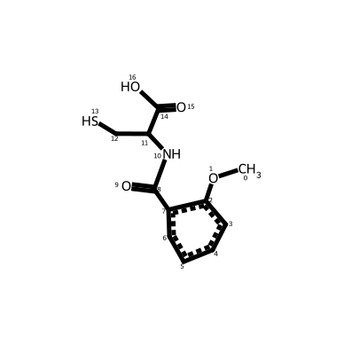 COc1ccccc1C(=O)NC(CS)C(=O)O